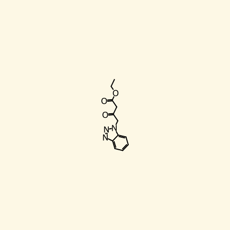 CCOC(=O)CC(=O)Cn1nnc2ccccc21